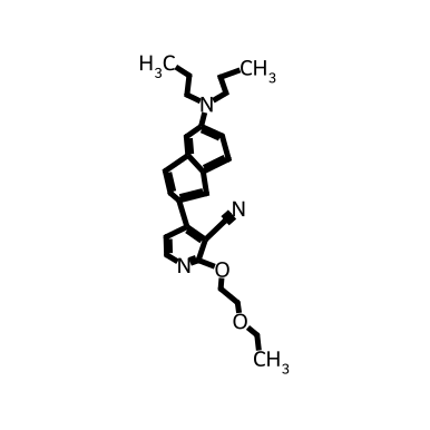 CCCN(CCC)c1ccc2cc(-c3ccnc(OCCOCC)c3C#N)ccc2c1